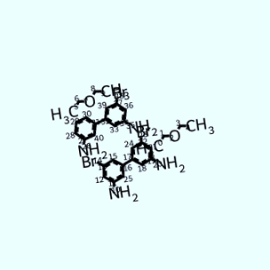 CCOCC.CCOCC.Nc1cc(Br)cc(-c2cc(N)cc(Br)c2)c1.Nc1cccc(-c2cc(N)cc(Br)c2)c1